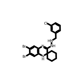 Clc1cccc(CNNC2=Nc3cc(Br)c(Br)cc3NC23CCCCC3)c1